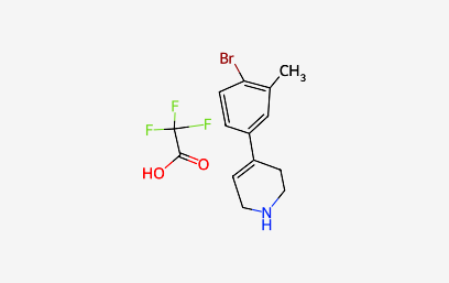 Cc1cc(C2=CCNCC2)ccc1Br.O=C(O)C(F)(F)F